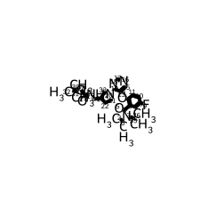 CC(C)N(C(=O)c1cc(F)ccc1Oc1cncnc1N1CCC(CNC(=O)OC(C)(C)C)C1)C(C)C